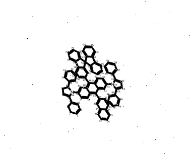 C1=CCCC(C2=CCC(c3ccccc3)N2c2ccc3c(-c4ccc5ccccc5c4)c4cc(-n5c(-c6ccccc6)ccc5-c5ccccc5)ccc4c(-c4ccc5c(c4)C4(c6ccccc6-c6ccccc64)c4ccccc4-5)c3c2)=C1